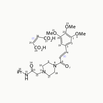 COc1cc(/C=C/C(=O)N2CCN(CC(=O)NC(C)C)CC2)cc(OC)c1OC.O=C(O)/C=C\C(=O)O